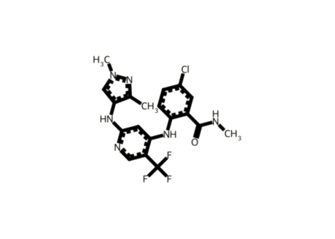 CNC(=O)c1cc(Cl)ccc1Nc1cc(Nc2cn(C)nc2C)ncc1C(F)(F)F